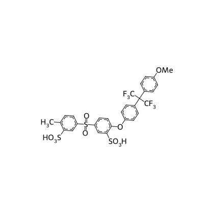 COc1ccc(C(c2ccc(Oc3ccc(S(=O)(=O)c4ccc(C)c(S(=O)(=O)O)c4)cc3S(=O)(=O)O)cc2)(C(F)(F)F)C(F)(F)F)cc1